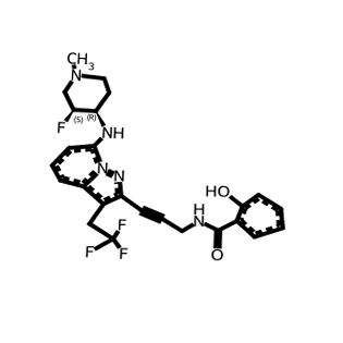 CN1CC[C@@H](Nc2cccc3c(CC(F)(F)F)c(C#CCNC(=O)c4ccccc4O)nn23)[C@@H](F)C1